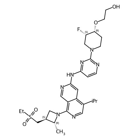 CCS(=O)(=O)C[C@H]1CN(c2ncc(C(C)C)c3cc(Nc4ccnc(N5CC[C@@H](OCCO)[C@@H](F)C5)n4)ncc23)[C@@H]1C